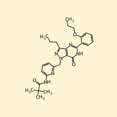 CCCOc1ccccc1-c1nc2c(CCC)nn(Cc3cccc(NC(=O)C(C)(C)C)n3)c2c(=O)[nH]1